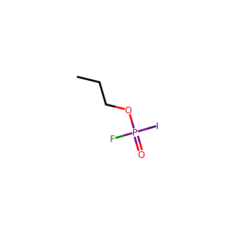 CCCOP(=O)(F)I